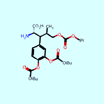 CC(C)COC(=O)Oc1ccc(C(C(C)COC(=O)OC(C)C)[C@H](N)C(=O)O)cc1OC(=O)OCC(C)C